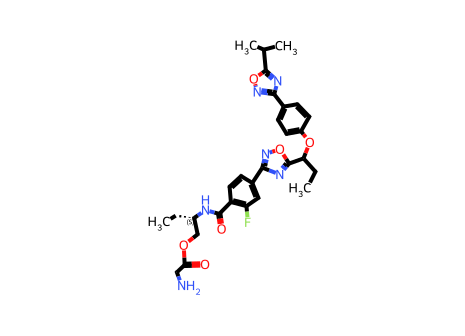 CCC(Oc1ccc(-c2noc(C(C)C)n2)cc1)c1nc(-c2ccc(C(=O)N[C@@H](CC)COC(=O)CN)c(F)c2)no1